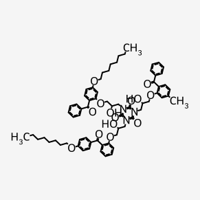 CCCCCCCCOc1ccc(C(=O)c2ccccc2OCC(O)Cn2c(=O)n(CC(O)COc3cc(C)ccc3C(=O)c3ccccc3)c(=O)n(CC(O)COc3cc(OCCCCCCCC)ccc3C(=O)c3ccccc3)c2=O)cc1